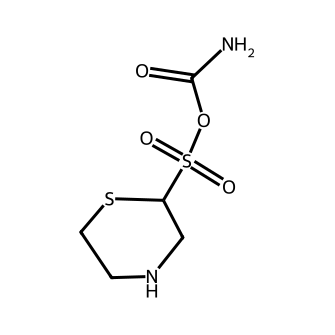 NC(=O)OS(=O)(=O)C1CNCCS1